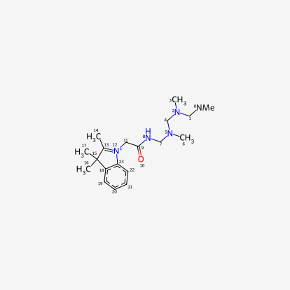 CNCN(C)CN(C)CNC(=O)C[N+]1=C(C)C(C)(C)c2ccccc21